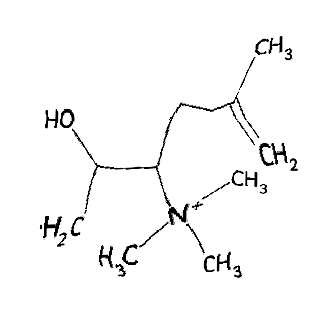 [CH2]C(O)C(CC(=C)C)[N+](C)(C)C